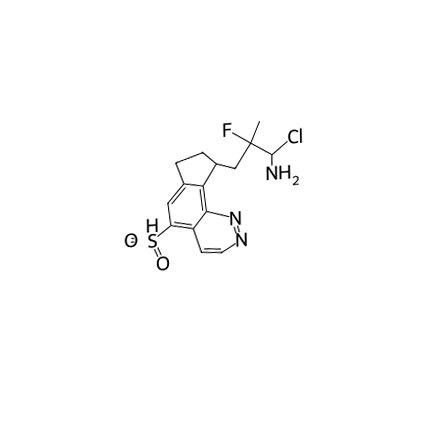 CC(F)(CC1CCc2cc([SH](=O)=O)c3ccnnc3c21)C(N)Cl